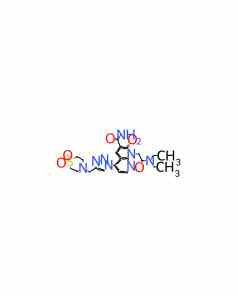 CCN(CC)C(=O)Cn1c(=O)c(C(N)=O)cc2c(-n3cc(CN4CCS(=O)(=O)CC4)nn3)ccnc21